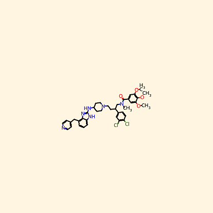 COc1cc(C(=O)N(C)CC(CCN2CCC(Nc3nc4c(Cc5ccncc5)cccc4[nH]3)CC2)c2ccc(Cl)c(Cl)c2)cc(OC)c1OC